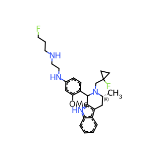 COc1cc(NCCNCCCF)ccc1C1c2[nH]c3ccccc3c2C[C@@H](C)N1CC1(F)CC1